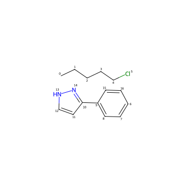 CCCCCCl.c1ccc(-c2cc[nH]n2)cc1